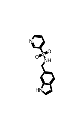 O=S(=O)(NCc1ccc2cc[nH]c2c1)c1cccnc1